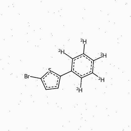 [2H]c1c([2H])c([2H])c(-c2ccc(Br)s2)c([2H])c1[2H]